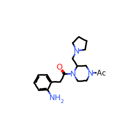 CC(=O)N1CCN(C(=O)Cc2ccccc2N)C(CN2CCCC2)C1